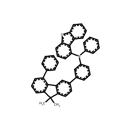 CC1(C)c2ccc(-c3cccc(N(c4ccccc4)c4cccc5oc6ccccc6c45)c3)cc2-c2c(-c3ccccc3)cccc21